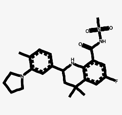 Cc1ccc(C2CC(C)(C)c3cc(F)cc(C(=O)NS(C)(=O)=O)c3N2)cc1N1CCCC1